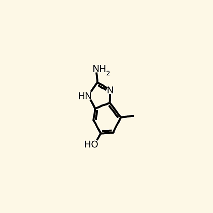 Cc1cc(O)cc2[nH]c(N)nc12